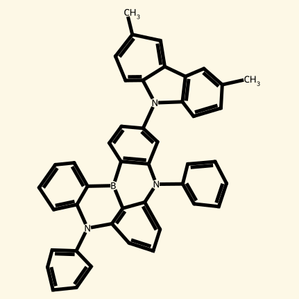 Cc1ccc2c(c1)c1cc(C)ccc1n2-c1ccc2c(c1)N(c1ccccc1)c1cccc3c1B2c1ccccc1N3c1ccccc1